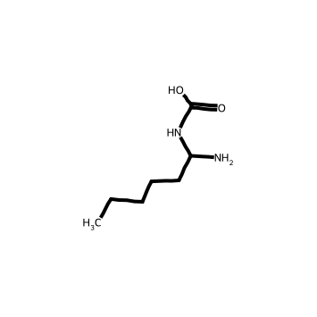 CCCCCC(N)NC(=O)O